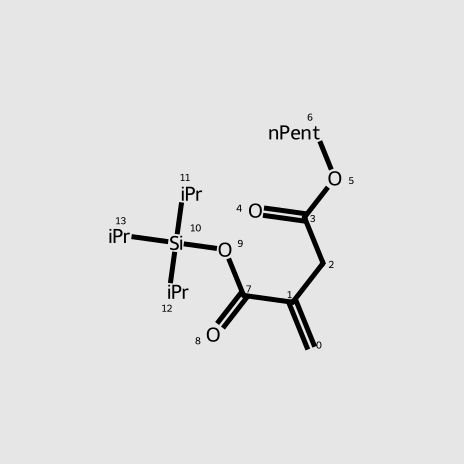 C=C(CC(=O)OCCCCC)C(=O)O[Si](C(C)C)(C(C)C)C(C)C